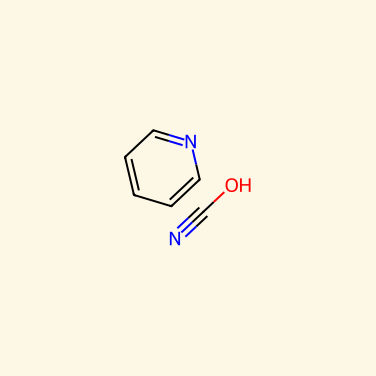 N#CO.c1ccncc1